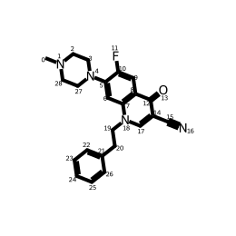 CN1CCN(c2cc3c(cc2F)c(=O)c(C#N)cn3CCc2ccccc2)CC1